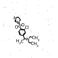 CCN(CC)C(C)c1ccc(S(=O)(=O)N2C=NCC2)c(Cl)c1